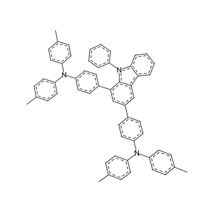 Cc1ccc(N(c2ccc(C)cc2)c2ccc(-c3cc(-c4ccc(N(c5ccc(C)cc5)c5ccc(C)cc5)cc4)c4c(c3)c3ccccc3n4-c3ccccc3)cc2)cc1